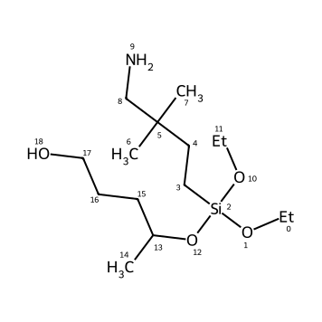 CCO[Si](CCC(C)(C)CN)(OCC)OC(C)CCCO